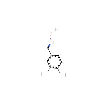 CON=Cc1ccc(C)c(C)c1